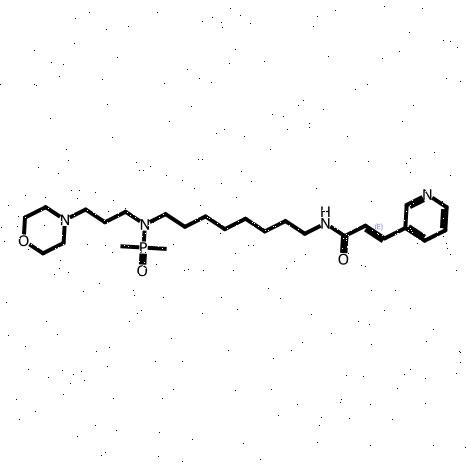 CP(C)(=O)N(CCCCCCCCNC(=O)/C=C/c1cccnc1)CCCN1CCOCC1